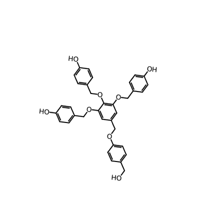 OCc1ccc(OCc2cc(OCc3ccc(O)cc3)c(OCc3ccc(O)cc3)c(OCc3ccc(O)cc3)c2)cc1